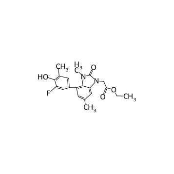 CCOC(=O)Cn1c(=O)n(C)c2c(-c3cc(C)c(O)c(F)c3)cc(C)cc21